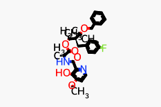 COc1ccnc(C(=O)N[C@@H](C)C(=O)O[C@@H](C)[C@H](Cc2ccc(F)cc2)C(C)(C)OCc2ccccc2)c1O